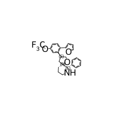 FC(F)(F)Oc1ccc(-c2ccco2)c([C@H]2CO[C@]3(CCCN[C@H]3c3ccccc3)C2)c1